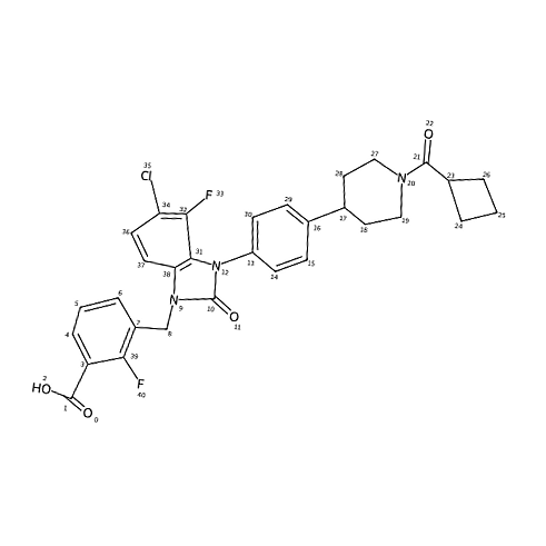 O=C(O)c1cccc(Cn2c(=O)n(-c3ccc(C4CCN(C(=O)C5CCC5)CC4)cc3)c3c(F)c(Cl)ccc32)c1F